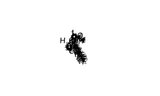 Cc1cc(I)cc(C(=O)NC2CC2)c1NC(=O)c1cc(Cn2cc(C(F)(F)C(F)(F)C(F)(F)F)nn2)nn1-c1ncccc1Cl